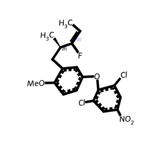 C/C=C(/F)[C@H](C)Cc1cc(Oc2c(Cl)cc([N+](=O)[O-])cc2Cl)ccc1OC